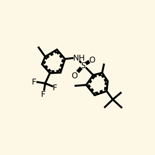 Cc1cc(NS(=O)(=O)c2c(C)cc(C(C)(C)C)cc2C)cc(C(F)(F)F)c1